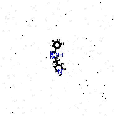 CN1CCC(C(C)(C)c2nnc(-c3ccccc3)[nH]2)CC1